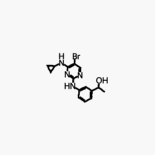 CC(O)c1cccc(Nc2ncc(Br)c(NC3CC3)n2)c1